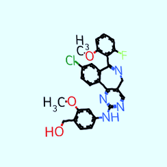 COc1cc(Nc2ncc3c(n2)-c2ccc(Cl)cc2C(c2c(F)cccc2OC)=NC3)ccc1CO